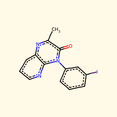 Cc1nc2cccnc2n(-c2cccc(I)c2)c1=O